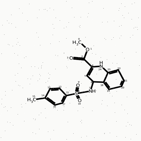 COC(=O)C1=CC(NS(=O)(=O)c2ccc(C)cc2)c2ccccc2N1